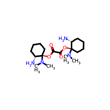 CN(C)[C@@]1(OC(=O)C(=O)O[C@]2(N(C)C)CCCC[C@H]2N)CCCC[C@H]1N